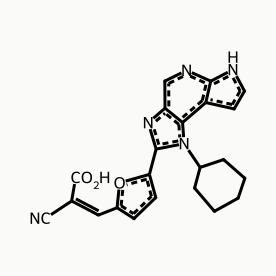 N#CC(=Cc1ccc(-c2nc3cnc4[nH]ccc4c3n2C2CCCCC2)o1)C(=O)O